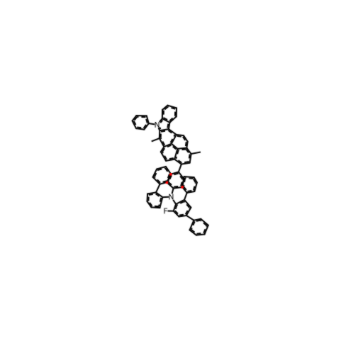 Cc1cc(-c2ccc(N(c3ccccc3-c3ccccc3)c3c(F)cc(-c4ccccc4)cc3-c3ccccc3)cc2)c2ccc3c(C)c4c(c5ccc1c2c35)c1ccccc1n4-c1ccccc1